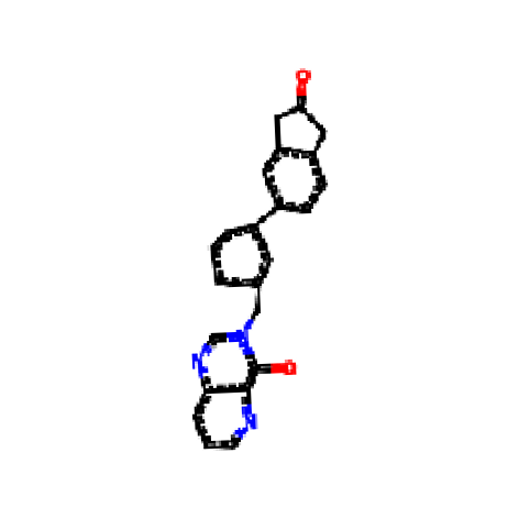 O=C1Cc2ccc(-c3cccc(Cn4cnc5cccnc5c4=O)c3)cc2C1